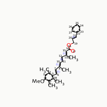 COc1cc(C)c(/C=C/C(C)=C/C=C/C(C)=C/C(=O)OC/C=C/c2ccccc2)c(C)c1C